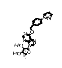 C[C@H]1O[C@@H](n2cnc3c(OCc4ccc(-n5cccn5)cc4)ncnc32)[C@H](O)[C@@H]1O